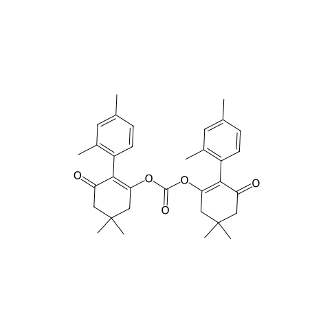 Cc1ccc(C2=C(OC(=O)OC3=C(c4ccc(C)cc4C)C(=O)CC(C)(C)C3)CC(C)(C)CC2=O)c(C)c1